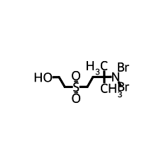 CC(C)(CCS(=O)(=O)CCO)N(Br)Br